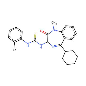 CCc1ccccc1NC(=S)NC1N=C(C2CCCCC2)c2ccccc2N(C)C1=O